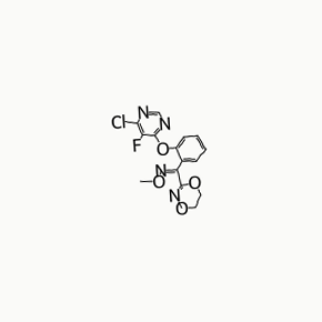 CO/N=C(\C1=NOCCO1)c1ccccc1Oc1ncnc(Cl)c1F